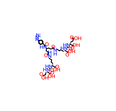 [N-]=[N+]=Nc1ccc(C(=O)NC(CCC(=O)NCCCC[C@H](NC(=O)N[C@@H](CCC(=O)O)C(=O)O)C(=O)O)CCC(=O)NCCCC[C@H](NC(=O)N[C@@H](CCC(=O)O)C(=O)O)C(=O)O)cc1